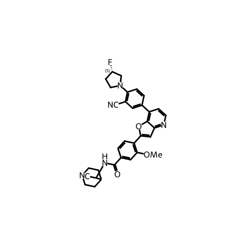 COc1cc(C(=O)NC2CN3CCC2CC3)ccc1-c1cc2nccc(-c3ccc(N4CC[C@H](F)C4)c(C#N)c3)c2o1